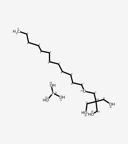 CCCCCCCCCCCCOCC(CO)(CO)CO.OP(O)O